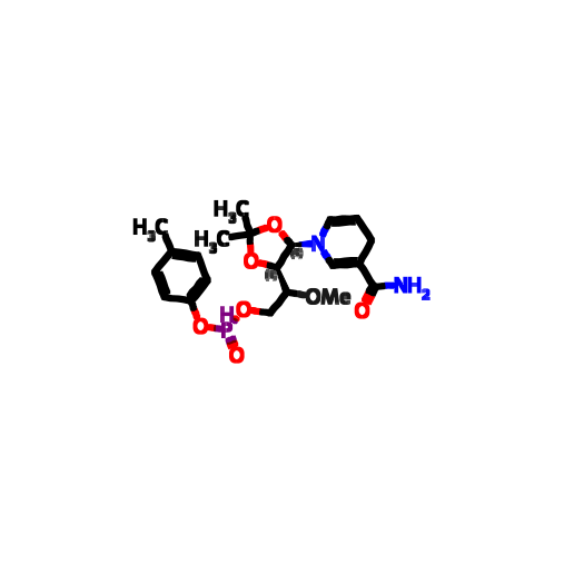 COC(CO[PH](=O)Oc1ccc(C)cc1)[C@H]1OC(C)(C)O[C@H]1N1C=CCC(C(N)=O)=C1